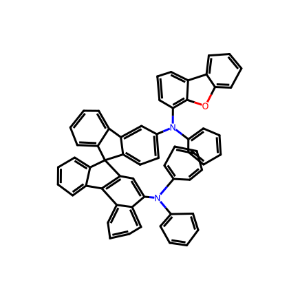 c1ccc(N(c2ccccc2)c2cc3c(c4ccccc24)-c2ccccc2C32c3ccccc3-c3cc(N(c4ccccc4)c4cccc5c4oc4ccccc45)ccc32)cc1